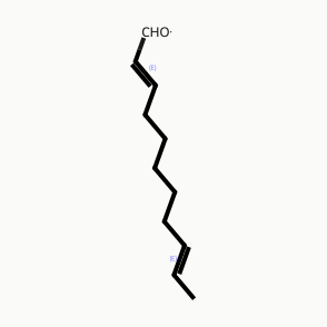 C/C=C/CCCCC/C=C/[C]=O